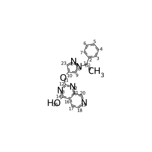 C[C@@H](c1ccccc1)n1cc(Oc2nc(O)c3ccncc3n2)cn1